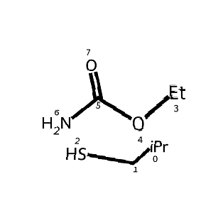 CC(C)CS.CCOC(N)=O